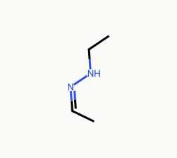 C/C=N\NCC